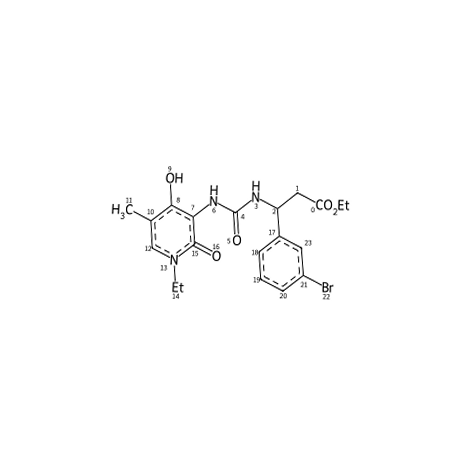 CCOC(=O)CC(NC(=O)Nc1c(O)c(C)cn(CC)c1=O)c1cccc(Br)c1